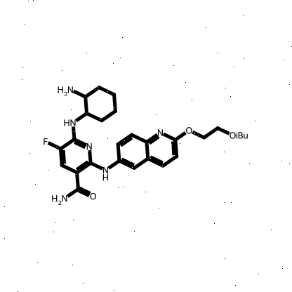 CC(C)COCCOc1ccc2cc(Nc3nc(NC4CCCCC4N)c(F)cc3C(N)=O)ccc2n1